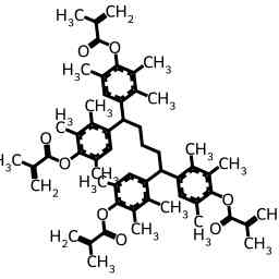 C=C(C)C(=O)Oc1c(C)cc(C(CCCC(c2cc(C)c(OC(=O)C(=C)C)c(C)c2C)c2cc(C)c(OC(=O)C(=C)C)c(C)c2C)c2cc(C)c(OC(=O)C(=C)C)c(C)c2C)c(C)c1C